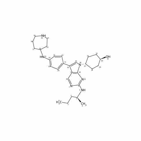 CCC[C@H](C)Nc1ncc2c(-c3ccc(NC4CCCNCC4)cc3)cn([C@H]3CC[C@H](O)CC3)c2n1